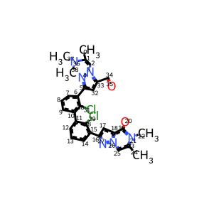 C/C(=C/n1nc(-c2cccc(-c3cccc(-c4cc5c(=O)n(C)c(C)cn5n4)c3Cl)c2Cl)cc1C=O)N(C)C